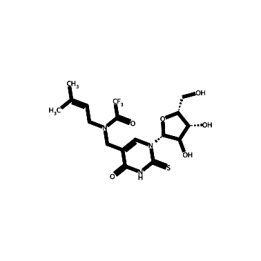 CC(C)=CCN(Cc1cn([C@@H]2O[C@H](CO)[C@H](O)C2O)c(=S)[nH]c1=O)C(=O)C(F)(F)F